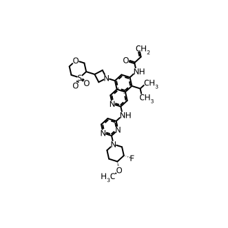 C=CC(=O)Nc1cc(N2CC(C3COCCS3(=O)=O)C2)c2cnc(Nc3ccnc(N4CC[C@@H](OC)[C@@H](F)C4)n3)cc2c1C(C)C